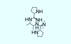 C/N=C(\NC(C)C(C)NC(=N)C1CCCN1)C1CCCN1